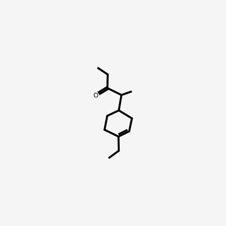 CCC(=O)C(C)C1CC=C(CC)CC1